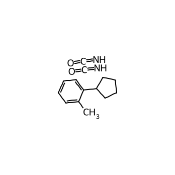 Cc1ccccc1C1CCCC1.N=C=O.N=C=O